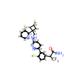 NC(=O)C(c1ccc(F)c(-c2ccc(NCC3(c4ncccc4F)CC(F)C3)nn2)c1)C(F)(F)F